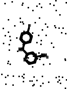 Nc1ccnc(Nc2ccc(F)cc2)c1